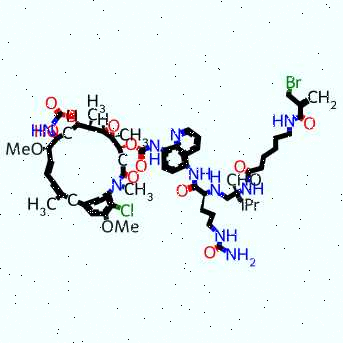 C=C(CBr)C(=O)NCCCCCC(=O)N[C@@](C=O)(CN[C@@H](CCCNC(N)=O)C(=O)Nc1ccc(NC(=O)O[C@H]2CC(=O)N(C)c3cc(cc(OC)c3Cl)C/C(C)=C/C=C/[C@@H](OC)[C@@]3(O)C[C@H](OC(=O)N3)[C@@H](C)[C@@H]3O[C@@]23C)c2ncccc12)C(C)C